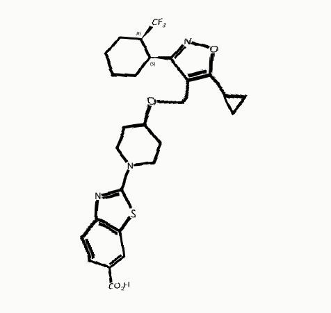 O=C(O)c1ccc2nc(N3CCC(OCc4c([C@H]5CCCC[C@H]5C(F)(F)F)noc4C4CC4)CC3)sc2c1